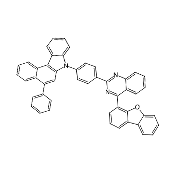 c1ccc(-c2cc3c(c4ccccc24)c2ccccc2n3-c2ccc(-c3nc(-c4cccc5c4oc4ccccc45)c4ccccc4n3)cc2)cc1